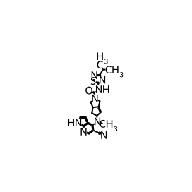 CC(C)c1nsc(NC(=O)N2CC3=CC(N(C)c4c(C#N)cnc5[nH]ccc45)CC3C2)n1